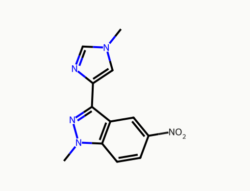 Cn1cnc(-c2nn(C)c3ccc([N+](=O)[O-])cc23)c1